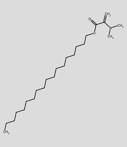 C=C(C(=O)OCCCCCCCCCCCCCCCCCC)N(C)C